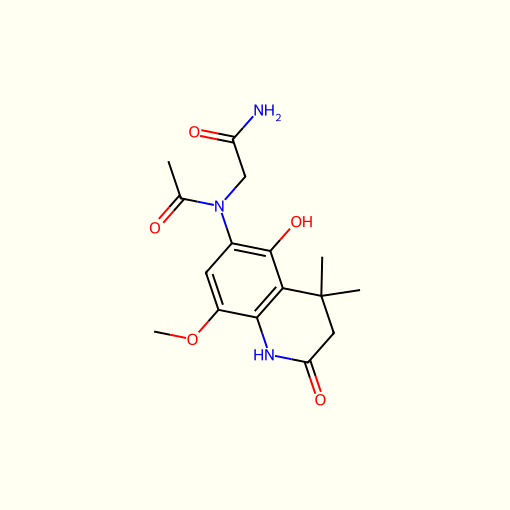 COc1cc(N(CC(N)=O)C(C)=O)c(O)c2c1NC(=O)CC2(C)C